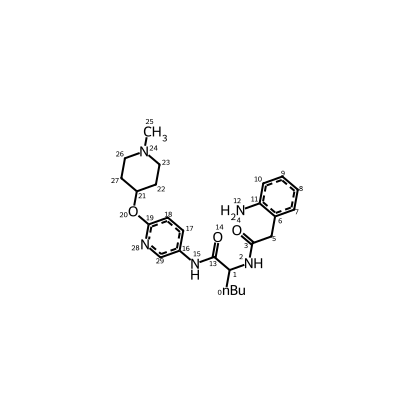 CCCCC(NC(=O)Cc1ccccc1N)C(=O)Nc1ccc(OC2CCN(C)CC2)nc1